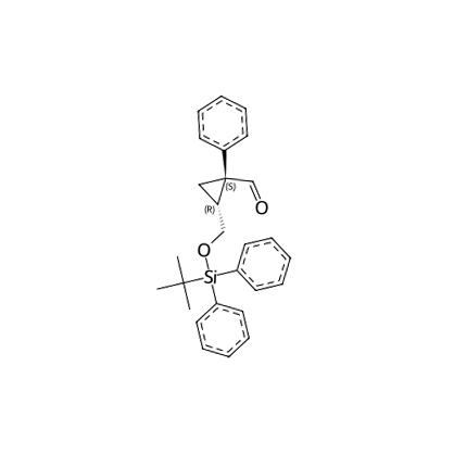 CC(C)(C)[Si](OC[C@@H]1C[C@@]1(C=O)c1ccccc1)(c1ccccc1)c1ccccc1